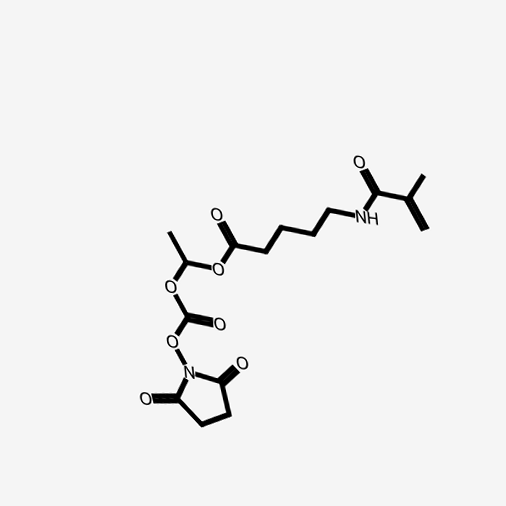 C=C(C)C(=O)NCCCCC(=O)OC(C)OC(=O)ON1C(=O)CCC1=O